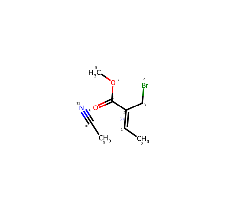 C/C=C(\CBr)C(=O)OC.CC#N